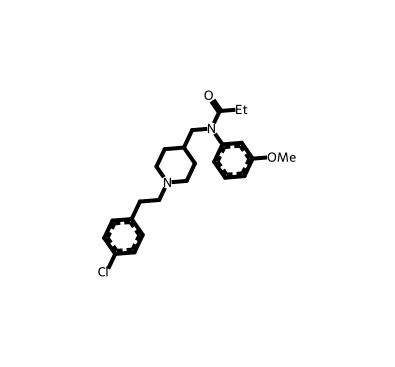 CCC(=O)N(CC1CCN(CCc2ccc(Cl)cc2)CC1)c1cccc(OC)c1